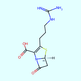 N=C(N)NCCCC1=C(C(=O)O)N2C(=O)C[C@@H]2S1